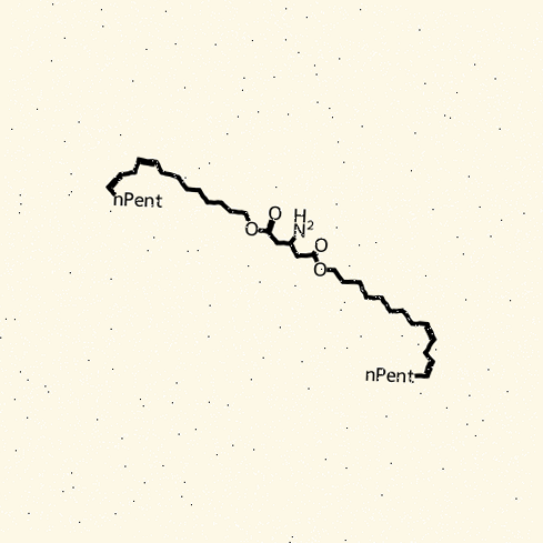 CCCCC/C=C\C/C=C\CCCCCCCCOC(=O)CC(N)CC(=O)OCCCCCCCC/C=C\C/C=C\CCCCC